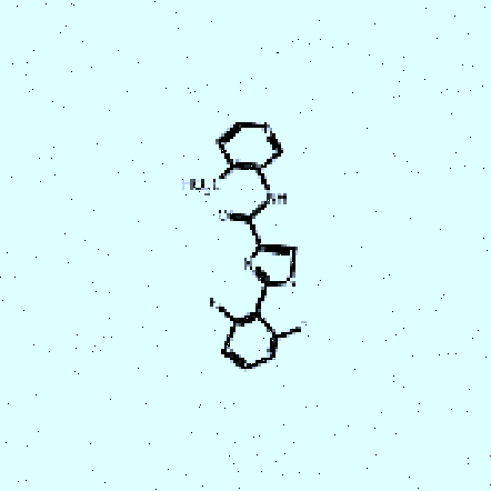 O=C(Nc1cnccc1C(=O)O)c1csc(-c2c(F)cccc2F)n1